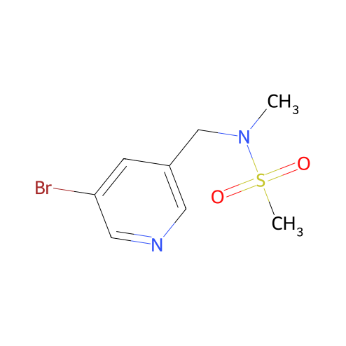 CN(Cc1cncc(Br)c1)S(C)(=O)=O